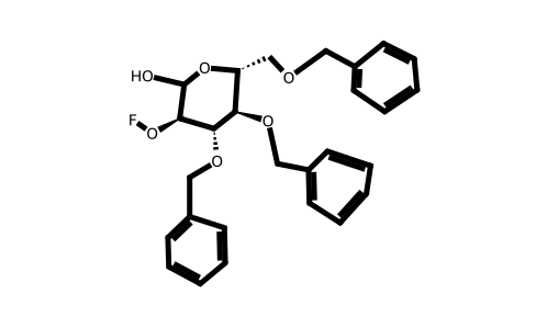 OC1O[C@H](COCc2ccccc2)[C@@H](OCc2ccccc2)[C@H](OCc2ccccc2)[C@H]1OF